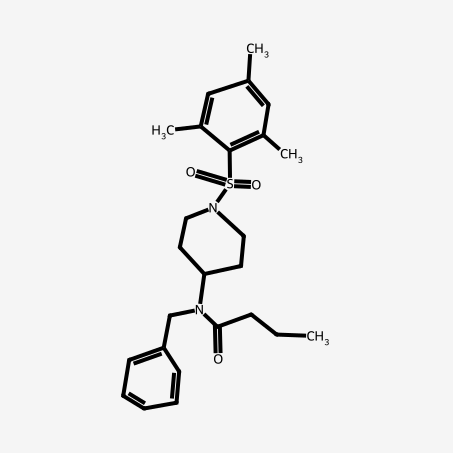 CCCC(=O)N(Cc1ccccc1)C1CCN(S(=O)(=O)c2c(C)cc(C)cc2C)CC1